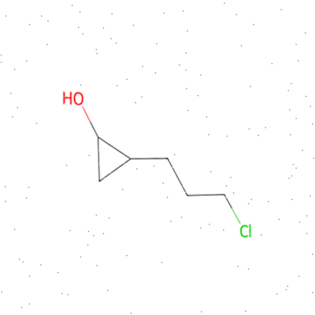 OC1CC1CCCCl